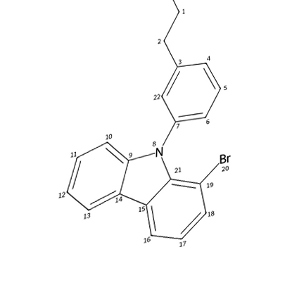 CCCc1cccc(-n2c3ccccc3c3cccc(Br)c32)c1